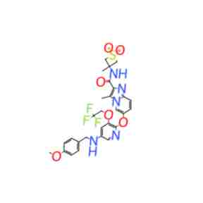 COc1ccc(CNc2cnc(Oc3ccc4nc(C(=O)NC5(C)CS(=O)(=O)C5)c(C)n4c3)c(OCC(F)(F)F)c2)cc1